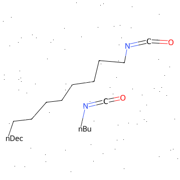 CCCCCCCCCCCCCCCCCCN=C=O.CCCCN=C=O